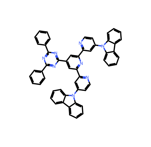 c1ccc(-c2nc(-c3ccccc3)nc(-c3cc(-c4cc(-n5c6ccccc6c6ccccc65)ccn4)nc(-c4cc(-n5c6ccccc6c6ccccc65)ccn4)c3)n2)cc1